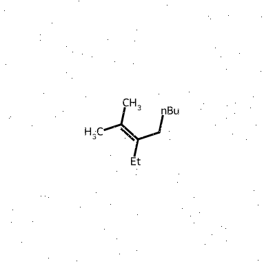 [CH2]CC(CCCCC)=C(C)C